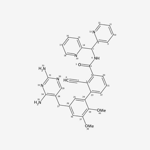 C#Cc1c(C(=O)NC(c2ccccn2)c2ccccn2)cccc1-c1cc(Cc2cnc(N)nc2N)cc(OC)c1OC